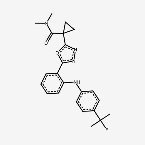 CN(C)C(=O)C1(c2nnc(-c3ccccc3Nc3ccc(C(C)(C)F)cc3)o2)CC1